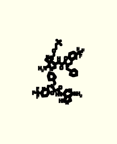 C[Si](C)(C)CCOCn1ncc2c(N)ncc(NC(=O)C(=O)N(Cc3ccccc3)Cc3cccc(C(F)(F)F)n3)c21.Nc1ncc(NC(=O)C(=O)N(Cc2ccccc2)Cc2cccc(C(F)(F)F)n2)c2[nH]ncc12